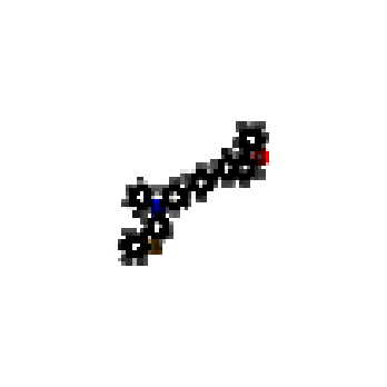 c1ccc(N(c2ccc(-c3ccc(-c4ccc5c(ccc6oc7ccccc7c65)c4)cc3)cc2)c2ccc3sc4ccccc4c3c2)cc1